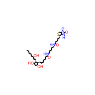 CCCCCC(O)/C=C/[C@H]1C(O)CC(O)[C@@H]1C/C=C\CCCC(=O)NCCCCCNC(=O)CCCC[C@H]1SCC2NC(=O)NC21